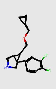 Clc1ccc(C23CNCC2C3COCC2CC2)cc1Cl